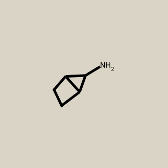 NC1C2CCC12